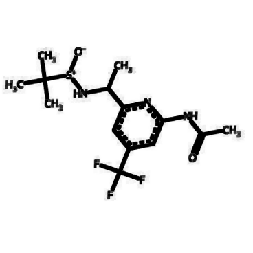 CC(=O)Nc1cc(C(F)(F)F)cc(C(C)N[S+]([O-])C(C)(C)C)n1